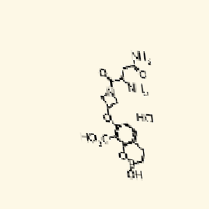 Cl.NC(=O)CC(N)C(=O)N1CC(Oc2ccc3c(c2C(=O)O)OB(O)CC3)C1